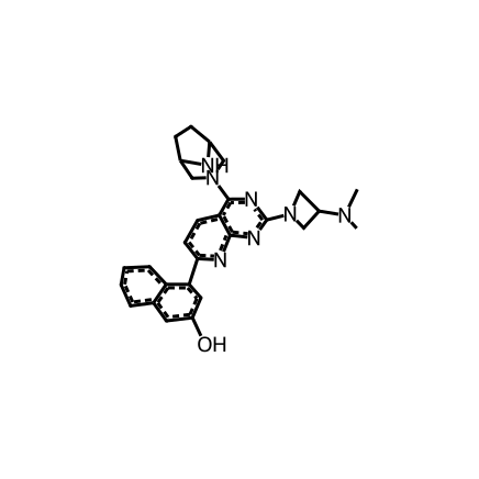 CN(C)C1CN(c2nc(N3CC4CCC(C3)N4)c3ccc(-c4cc(O)cc5ccccc45)nc3n2)C1